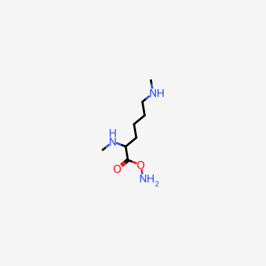 CNCCCCC(NC)C(=O)ON